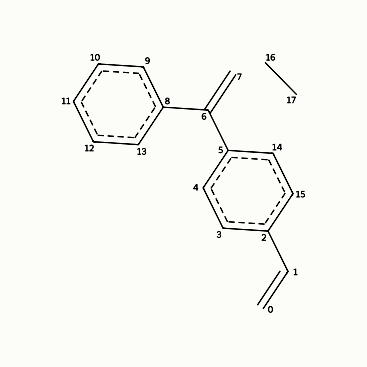 C=Cc1ccc(C(=C)c2ccccc2)cc1.CC